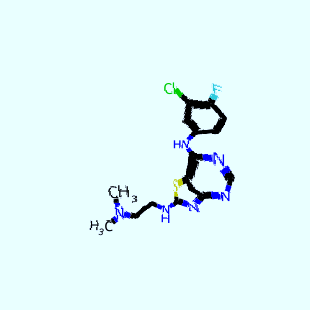 CN(C)CCNc1nc2ncnc(Nc3ccc(F)c(Cl)c3)c2s1